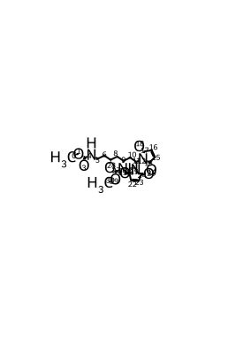 COC(=O)NCCCCC(CC(N1C(=O)C=CC1=O)N1C(=O)C=CC1=O)NC(=O)OC